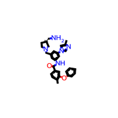 Cc1cn(-c2cc(CN3CC[C@H](CN)C3)cc(NC(=O)c3ccc(C)c(Oc4ccccc4)c3)c2)cn1